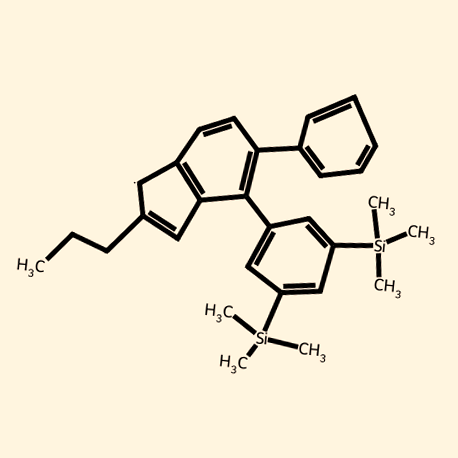 CCCC1=Cc2c(ccc(-c3ccccc3)c2-c2cc([Si](C)(C)C)cc([Si](C)(C)C)c2)[CH]1